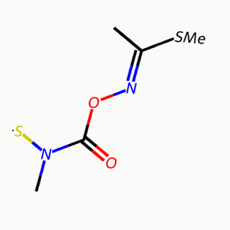 CSC(C)=NOC(=O)N(C)[S]